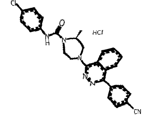 C[C@H]1CN(c2nnc(-c3ccc(C#N)cc3)c3ccccc23)CCN1C(=O)Nc1ccc(Cl)cc1.Cl